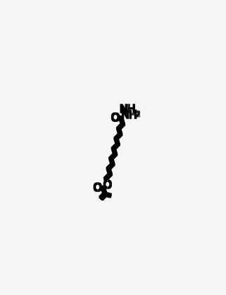 C=C(C)C(=O)OCCCCCCCCCCCCC(=O)NN